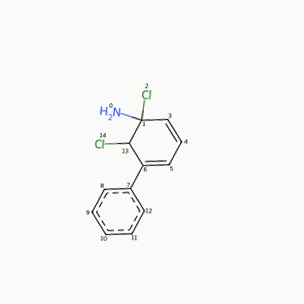 NC1(Cl)C=CC=C(c2ccccc2)C1Cl